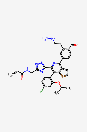 C=CC(=O)NCc1nc(-c2nc(-c3ccc(C=O)c(CCNN)c3)c3ccsc3c2-c2ccc(F)cc2OC(C)C)n[nH]1